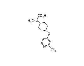 C[C@@H](C(=O)O)[C@H]1CC[C@H](Oc2ccnc(C(F)(F)F)c2)CC1